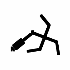 CC[Si](CC)(CC)SC#N